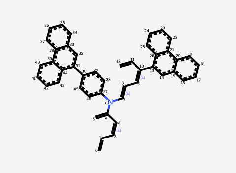 C=C/C=C\C(=C)N(/C=C/C=C(\C=C)c1cc2ccccc2c2ccccc12)c1ccc(-c2cc3ccccc3c3ccccc23)cc1